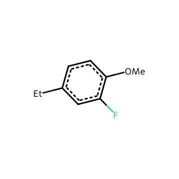 [CH2]Cc1ccc(OC)c(F)c1